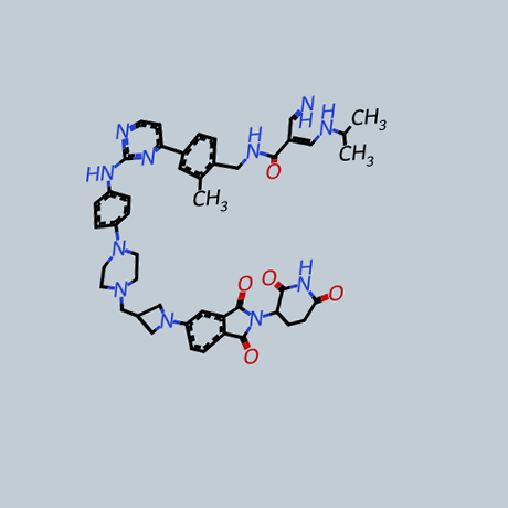 Cc1cc(-c2ccnc(Nc3ccc(N4CCN(CC5CN(c6ccc7c(c6)C(=O)N(C6CCC(=O)NC6=O)C7=O)C5)CC4)cc3)n2)ccc1CNC(=O)/C(C=N)=C/NC(C)C